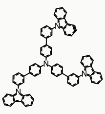 c1ccc2c(c#1)c1ccccc1n2-c1cccc(-c2ccc(N(c3ccc(-c4cccc(-n5c6ccccc6c6ccccc65)c4)cc3)c3ccc(-c4cccc(-n5c6ccccc6c6ccccc65)c4)cc3)cc2)c1